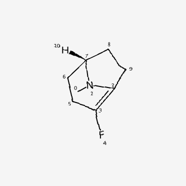 CN1C2=C(F)CC[C@@H]1CC2